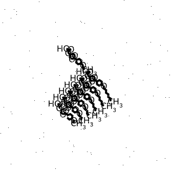 CCCCCCCOC1CCC(C2OCC(OC(=O)O)CO2)CC1.CCCCCCOC1CCC(C2OCC(OC(=O)O)CO2)CC1.CCCCCOC1CCC(C2OCC(OC(=O)O)CO2)CC1.CCCCOC1CCC(C2OCC(OC(=O)O)CO2)CC1.CCCOC1CCC(C2OCC(OC(=O)O)CO2)CC1.CCOC1CCC(C2OCC(OC(=O)O)CO2)CC1.CO[C@H]1CC[C@H]([C@H]2OC[C@H](OC(=O)O)CO2)CC1